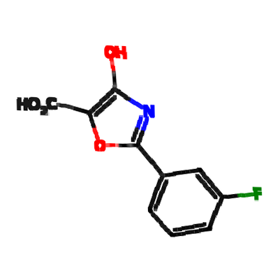 O=C(O)c1oc(-c2cccc(F)c2)nc1O